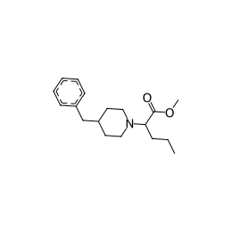 CCCC(C(=O)OC)N1CCC(Cc2ccccc2)CC1